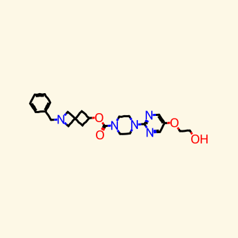 O=C(OC1CC2(C1)CN(Cc1ccccc1)C2)N1CCN(c2ncc(OCCO)cn2)CC1